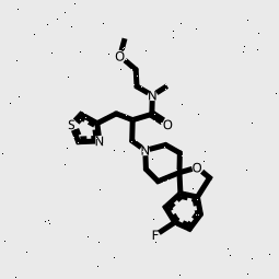 COCCN(C)C(=O)C(Cc1cscn1)CN1CCC2(CC1)OCc1ccc(F)cc12